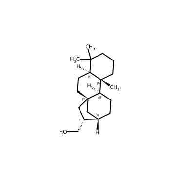 CC1(C)CCC[C@@]2(C)[C@H]1CC[C@@]13C[C@@H](CO)[C@@H](CC[C@@H]12)C3